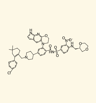 CC1(C)CCC(CN2CCC(c3ccc(C(=O)NS(=O)(=O)c4ccc(NC[C@@H]5COCCO5)c([N+](=O)[O-])c4)c(N4CCOc5nc6[nH]ccc6cc54)c3)CC2)=C(c2ccc(Cl)cc2)C1